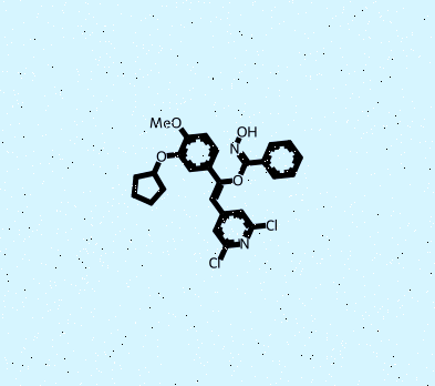 COc1ccc(C(=Cc2cc(Cl)nc(Cl)c2)OC(=NO)c2ccccc2)cc1OC1CCCC1